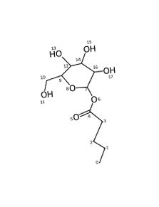 CCCCC(=O)OC1OC(CO)C(O)C(O)C1O